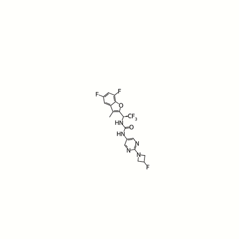 Cc1c([C@H](NC(=O)Nc2cnc(N3CC(F)C3)nc2)C(F)(F)F)oc2c(F)cc(F)cc12